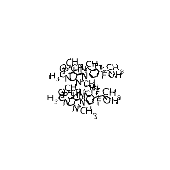 Cc1nc(NC(C)c2cccc(C(F)(F)C(C)O)c2F)c2cc(P(C)(=O)C(C)C)ncc2n1.Cc1nc(NC(C)c2cccc(C(F)(F)C(C)O)c2F)c2cc(P(C)(=O)C(C)C)ncc2n1